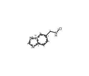 ClNCc1ccc2ncnn2c1